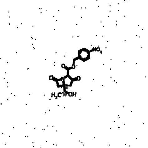 C[C@@H](O)[C@@]12CC(=O)C(C(=O)OCc3ccc([N+](=O)[O-])cc3)N1C(=O)C2